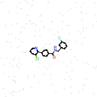 O=C(NCc1cccc(F)c1)c1ccc(-c2ncccc2Cl)cc1